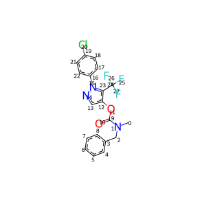 CN(Cc1ccccc1)C(=O)Oc1cnn(-c2ccc(Cl)cc2)c1C(F)(F)F